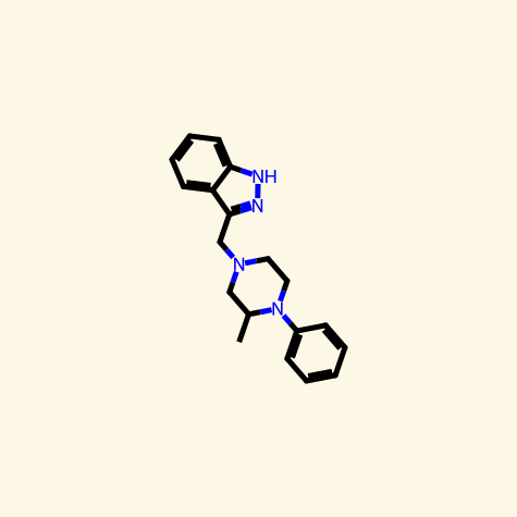 CC1CN(Cc2n[nH]c3ccccc23)CCN1c1ccccc1